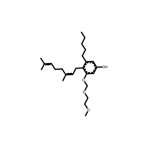 CCCCCc1cc(O)cc(OCOCCOC)c1CC=C(C)CCC=C(C)C